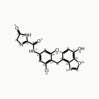 O=C1CN=C(C(=O)Nc2cc(Cl)c(Cc3ccc(O)c4ocnc34)c(Cl)c2)N1